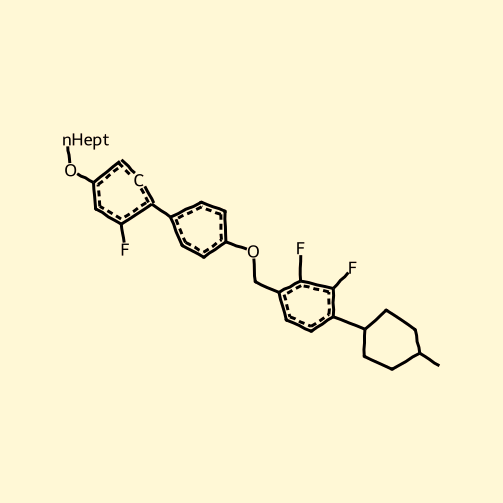 CCCCCCCOc1ccc(-c2ccc(OCc3ccc(C4CCC(C)CC4)c(F)c3F)cc2)c(F)c1